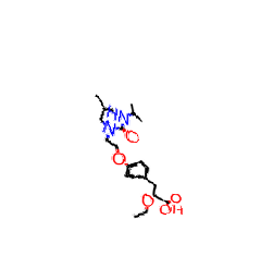 CCOC(Cc1ccc(OCCN(CC(C)C)C(=O)NC(C)C)cc1)C(=O)O